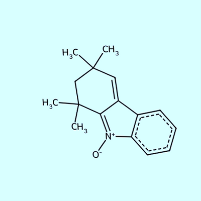 CC1(C)C=C2C(=[N+]([O-])c3ccccc32)C(C)(C)C1